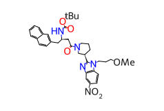 COCCCn1c([C@@H]2CCCN(C(=O)C[C@@H](Cc3ccc4ccccc4c3)NC(=O)OC(C)(C)C)C2)nc2cc([N+](=O)[O-])ccc21